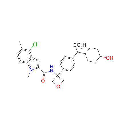 Cc1ccc2c(cc(C(=O)NC3(c4ccc(C(C(=O)O)C5CCC(O)CC5)cc4)COC3)n2C)c1Cl